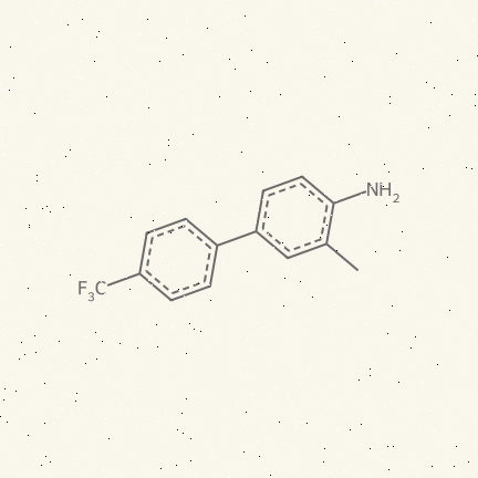 Cc1cc(-c2ccc(C(F)(F)F)cc2)ccc1N